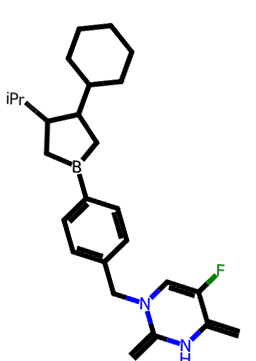 C=C1NC(=C)N(Cc2ccc(B3CC(C(C)C)C(C4CCCCC4)C3)cc2)C=C1F